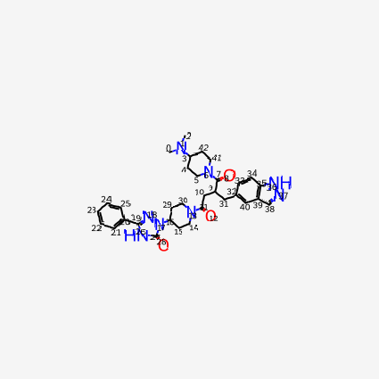 CN(C)C1CCN(C(=O)C(CC(=O)N2CCC(n3nc(-c4ccccc4)[nH]c3=O)CC2)Cc2ccc3[nH]ncc3c2)CC1